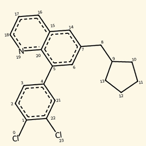 Clc1ccc(-c2cc(CC3CCCC3)cc3cccnc23)cc1Cl